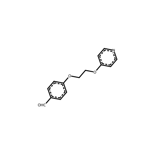 O=Cc1ccc(OCCOc2ccncc2)cc1